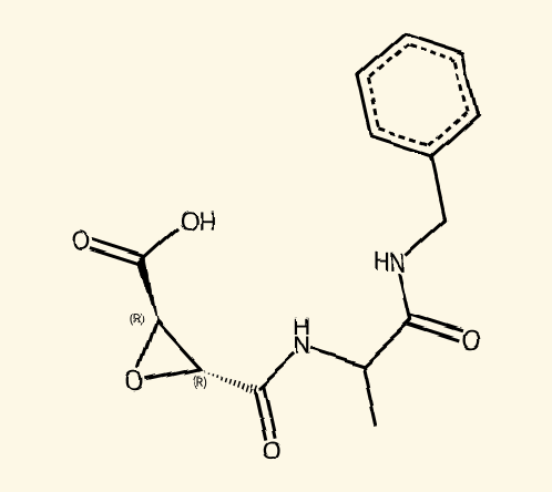 CC(NC(=O)[C@@H]1O[C@H]1C(=O)O)C(=O)NCc1ccccc1